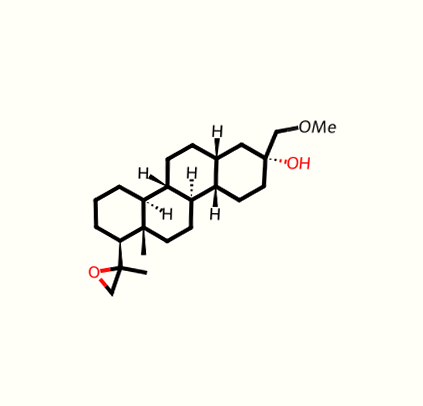 COC[C@@]1(O)CC[C@H]2[C@H](CC[C@@H]3[C@@H]2CC[C@]2(C)[C@@H](C4(C)CO4)CCC[C@@H]32)C1